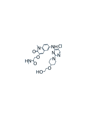 CNC(=O)COc1cc2cc(Nc3nc(N4CCC(OCCO)CC4)ncc3Cl)ccc2n(C)c1=O